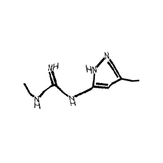 CNC(=N)Nc1cc(C)n[nH]1